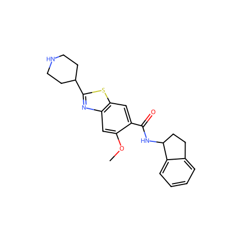 COc1cc2nc(C3CCNCC3)sc2cc1C(=O)NC1CCc2ccccc21